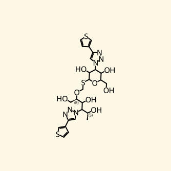 C[C@H](O)C(C(O)[C@@H](CO)OCSC1OC(CO)C(O)C(n2cc(-c3ccsc3)nn2)C1O)n1cc(-c2ccsc2)nn1